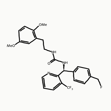 COc1ccc(OC)c(CCNC(=O)N[C@@H](c2ccc(CF)cc2)c2ncccc2C(F)(F)F)c1